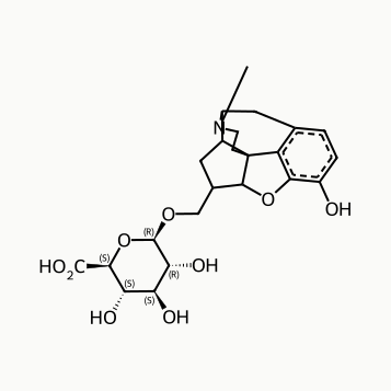 CN1CCC23c4c5ccc(O)c4OC2C(CO[C@@H]2O[C@H](C(=O)O)[C@@H](O)[C@H](O)[C@H]2O)CC3C1C5